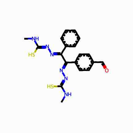 CN/C(S)=N/N=C(/C(=N/N=C(\S)NC)c1ccc(C=O)cc1)c1ccccc1